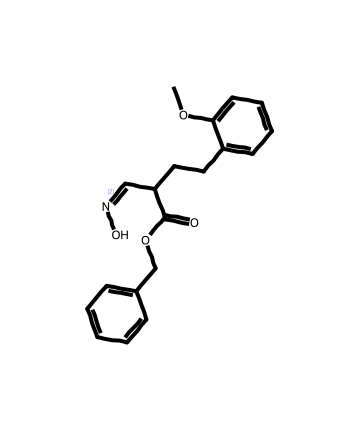 COc1ccccc1CCC(/C=N\O)C(=O)OCc1ccccc1